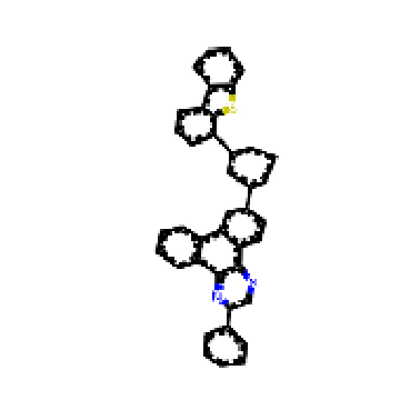 c1ccc(-c2cnc3c4ccc(-c5cccc(-c6cccc7c6sc6ccccc67)c5)cc4c4ccccc4c3n2)cc1